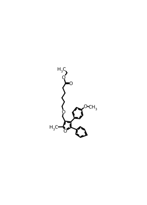 CCOC(=O)CCCCCOCc1c(C)oc(-c2ccccc2)c1-c1ccc(OC)cc1